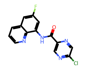 O=C(Nc1cc(F)cc2cccnc12)c1cnc(Cl)cn1